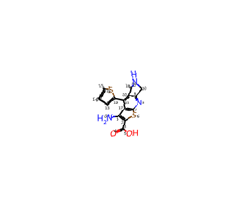 Nc1c(C(=O)O)sc2nc3c(c(-c4cccs4)c12)CNC3